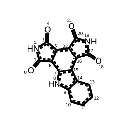 O=c1[nH]c(=O)c2c1c1[nH]c3ccccc3c1c1c(=O)[nH]c(=O)c21